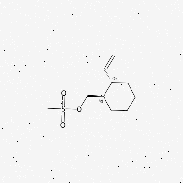 C=C[C@@H]1CCCC[C@H]1COS(C)(=O)=O